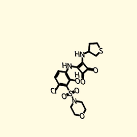 O=c1c(Nc2ccc(Cl)c(S(=O)(=O)N3CCOCC3)c2O)c(NC2CCSC2)c1=O